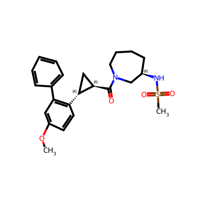 COc1ccc([C@@H]2C[C@H]2C(=O)N2CCCC[C@@H](NS(C)(=O)=O)C2)c(-c2ccccc2)c1